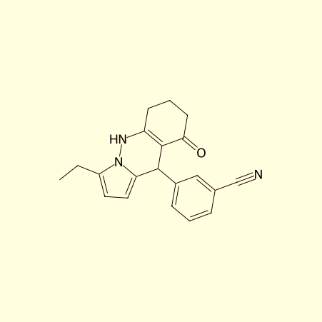 CCc1ccc2n1NC1=C(C(=O)CCC1)C2c1cccc(C#N)c1